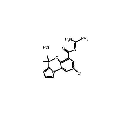 CC1(C)Oc2c(C(=O)N=C(N)N)cc(Cl)cc2-n2cccc21.Cl